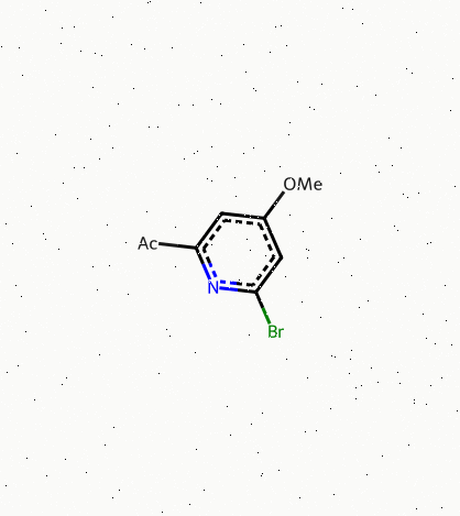 COc1cc(Br)nc(C(C)=O)c1